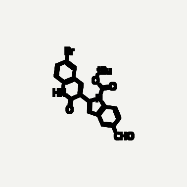 CC(C)(C)OC(=O)n1c(-c2cc3cc(Br)ccc3[nH]c2=O)cc2cc(C=O)ccc21